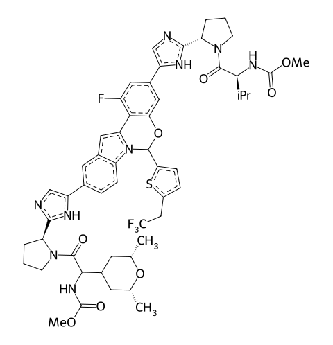 COC(=O)NC(C(=O)N1CCC[C@H]1c1ncc(-c2ccc3c(c2)cc2n3C(c3ccc(CC(F)(F)F)s3)Oc3cc(-c4cnc([C@@H]5CCCN5C(=O)[C@@H](NC(=O)OC)C(C)C)[nH]4)cc(F)c3-2)[nH]1)C1C[C@@H](C)O[C@@H](C)C1